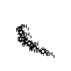 COC1CCC(NC/C=C/C(=O)Nc2ccc(C(=O)c3ncc4c(-c5cc6ncn(C)c6cc5C)cccn34)cc2C#N)CC1